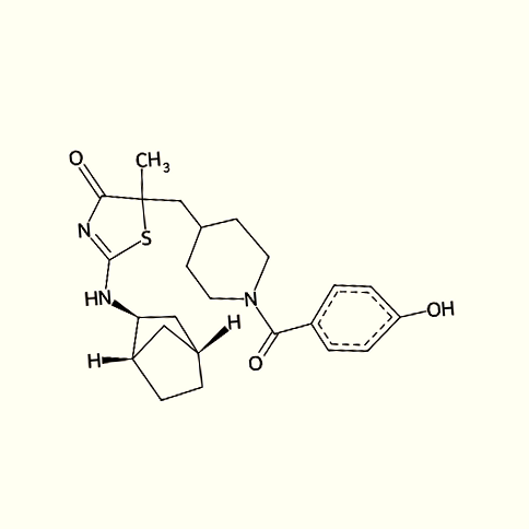 CC1(CC2CCN(C(=O)c3ccc(O)cc3)CC2)SC(N[C@H]2C[C@@H]3CC[C@H]2C3)=NC1=O